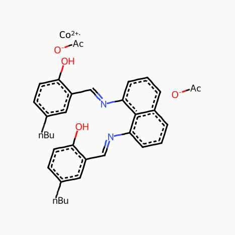 CC(=O)[O-].CC(=O)[O-].CCCCc1ccc(O)c(C=Nc2cccc3cccc(N=Cc4cc(CCCC)ccc4O)c23)c1.[Co+2]